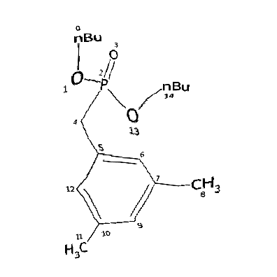 CCCCOP(=O)(Cc1cc(C)cc(C)c1)OCCCC